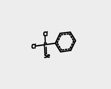 ClP(Cl)(=[Se])c1ccccc1